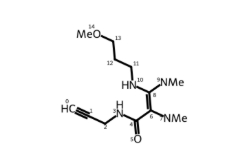 C#CCNC(=O)/C(NC)=C(/NC)NCCCOC